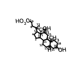 C[C@]12C(CCC1[C@H](I)CCC(=O)O)C1CC[C@@H]3C[C@H](O)CC[C@]3(C)C1C[C@@H]2O